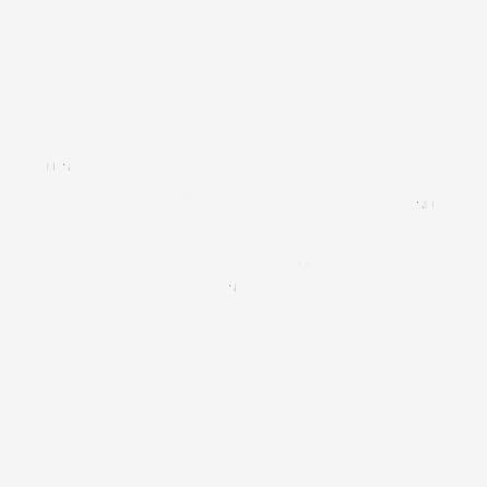 CCN(CCOC(=O)c1ccc(N)cc1)CCOC(=O)c1ccc(N)cc1